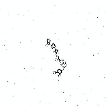 NC(=O)c1nc(-c2csc(SCC(=O)NC[C@H]3CN(Cc4ccc(Cl)c(Cl)c4)CCO3)n2)no1